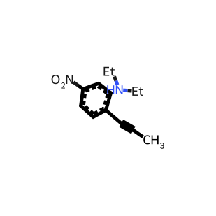 CC#Cc1ccc([N+](=O)[O-])cc1.CCNCC